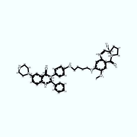 COc1cc2c(cc1OCCCCOc1ccc(-n3c(-c4ccccc4)nc4ccc(N5CCOCC5)cc4c3=O)cc1)N=C[C@@H]1CCCN1C2=O